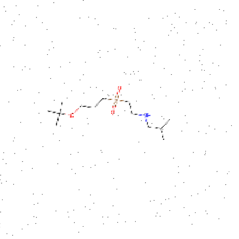 CC(C)CNCCS(=O)(=O)CCCOC(C)(C)C